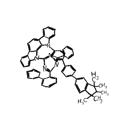 CC1C(C)(C)c2ccc(-c3ccc(-c4ccc(-n5c6ccccc6c6ccc7c8ccccc8n(-c8nc(-c9ccccc9)nc(-c9ccccc9-c9ccccc9)n8)c7c65)cc4)cc3)cc2C1(C)C